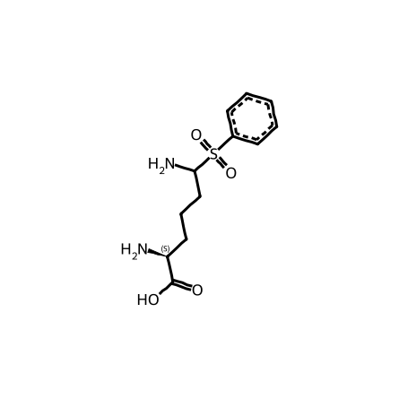 NC(CCC[C@H](N)C(=O)O)S(=O)(=O)c1ccccc1